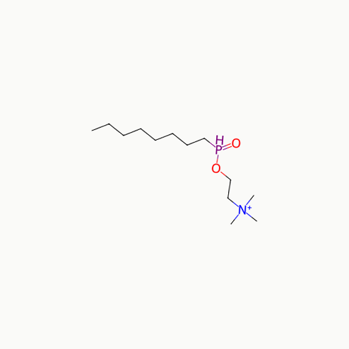 CCCCCCCC[PH](=O)OCC[N+](C)(C)C